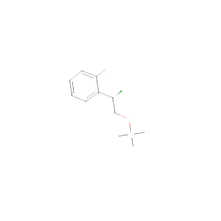 CC(C)(C)[Si](C)(C)OC[C@H](Cl)c1ccccc1Cl